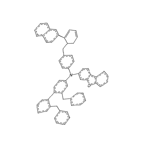 C1=CCC(Cc2ccc(N(c3ccc(-c4ccccc4Cc4ccccc4)c(Cc4ccccc4)c3)c3ccc4c(c3)oc3ccccc34)cc2)C(c2ccc3ccccc3c2)=C1